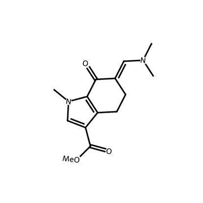 COC(=O)c1cn(C)c2c1CC/C(=C\N(C)C)C2=O